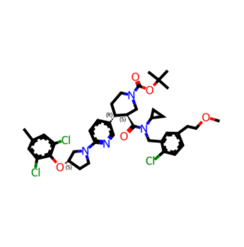 COCCc1ccc(Cl)c(CN(C(=O)[C@@H]2CN(C(=O)OC(C)(C)C)CC[C@H]2c2ccc(N3CC[C@H](Oc4c(Cl)cc(C)cc4Cl)C3)nc2)C2CC2)c1